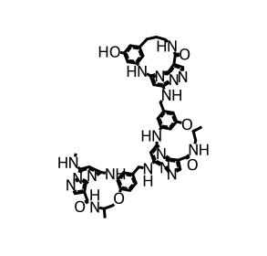 CNc1cc2nc3c(cnn13)C(=O)NC(C)COc1ccc(CNc3cc4nc5c(cnn35)C(=O)NCC(C)Oc3cc(CNc5cc6nc7c(cnn57)C(=O)NCCCc5cc(O)cc(c5)N6)cc(c3)N4)cc1N2